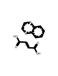 O=C(O)/C=C/C(=O)O.c1ccc2nccnc2c1